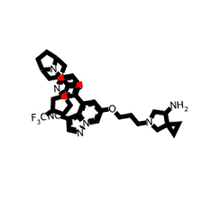 N#Cc1cnn2cc(OCCCN3CC(N)C4(CC4)C3)cc(-c3ccc(N4C5CCC4CN(C(=O)N4CCC(C(F)(F)F)C4)C5)nc3)c12